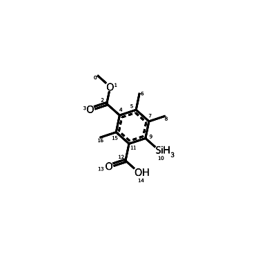 COC(=O)c1c(C)c(C)c([SiH3])c(C(=O)O)c1C